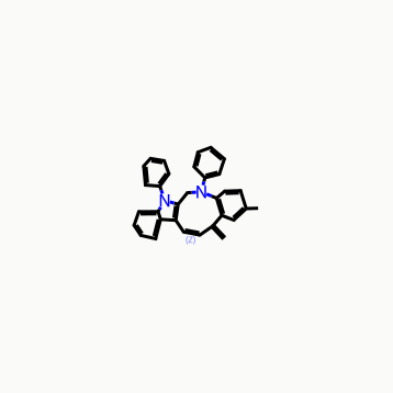 C=C1/C=C\c2c(n(-c3ccccc3)c3ccccc23)CN(c2ccccc2)c2ccc(C)cc21